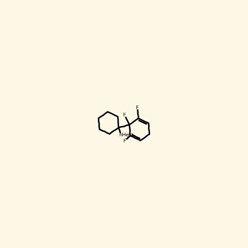 CCCCCCCC1(C2(F)C(F)=CCC=C2F)CCCCC1